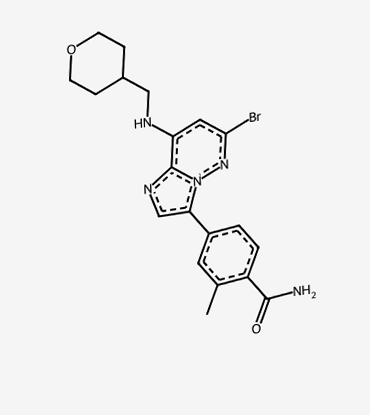 Cc1cc(-c2cnc3c(NCC4CCOCC4)cc(Br)nn23)ccc1C(N)=O